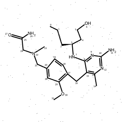 CCC[C@@H](CCO)Nc1nc(N)nc(C)c1Cc1ccc(CN(C)CC(N)=O)cc1OC